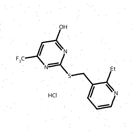 CCc1ncccc1CSc1nc(O)cc(C(F)(F)F)n1.Cl